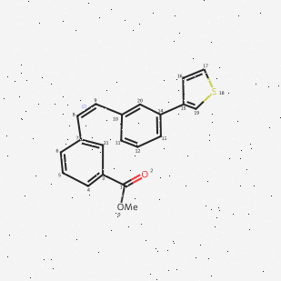 COC(=O)c1cccc(/C=C\c2cccc(-c3ccsc3)c2)c1